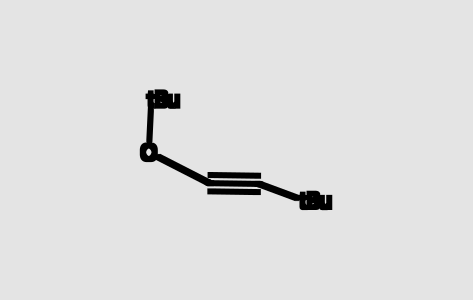 CC(C)(C)C#COC(C)(C)C